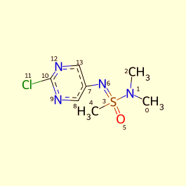 CN(C)S(C)(=O)=Nc1cnc(Cl)nc1